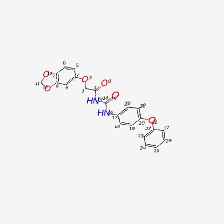 O=C(COc1ccc2c(c1)OCO2)NC(=O)Nc1ccc(Oc2ccccc2)cc1